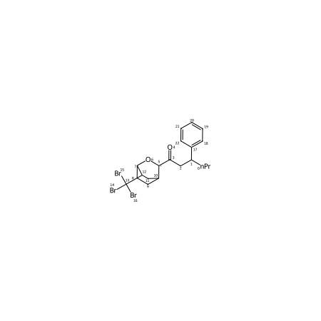 [CH2]CCC(CC(=O)[C]1OC2CCC1CC2C(Br)(Br)Br)c1ccccc1